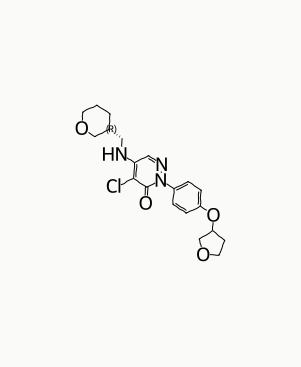 O=c1c(Cl)c(NC[C@H]2CCCOC2)cnn1-c1ccc(OC2CCOC2)cc1